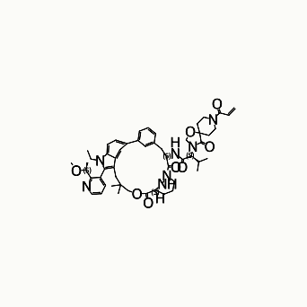 C=CC(=O)N1CCC2(CC1)OCN([C@H](C(=O)N[C@H]1Cc3cccc(c3)-c3ccc4c(c3)c(c(-c3cccnc3[C@H](C)OC)n4CC)CC(C)(C)COC(=O)[C@@H]3CCCN(N3)C1=O)C(C)C)C2=O